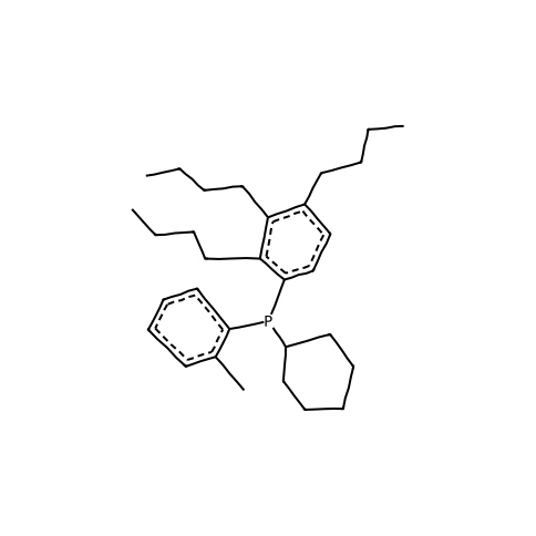 CCCCc1ccc(P(c2ccccc2C)C2CCCCC2)c(CCCC)c1CCCC